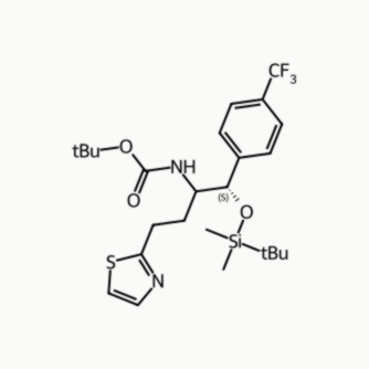 CC(C)(C)OC(=O)NC(CCc1nccs1)[C@@H](O[Si](C)(C)C(C)(C)C)c1ccc(C(F)(F)F)cc1